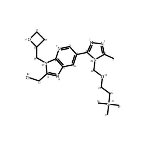 Cc1nnc(-c2cnc3c(c2)nc(CCl)n3CC2CCO2)n1COCC[Si](C)(C)C